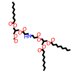 CCCCCCCCC(=O)OCC(COC=O)COC(=O)CCNCCC(=O)OCC(COC(=O)CCCCCCCC)COC(=O)CCCCCCCC